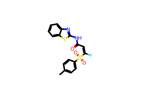 Cc1ccc(S(=O)(=O)C(F)=CC(=O)Nc2nc3ccccc3s2)cc1